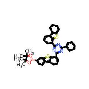 CC1(C)OB(c2ccc3c(c2)sc2c(-c4nc(-c5ccccc5)nc(-c5cccc6c5sc5ccccc56)n4)cccc23)OC1(C)C